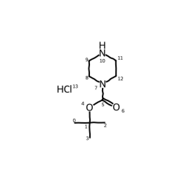 CC(C)(C)OC(=O)N1CCNCC1.Cl